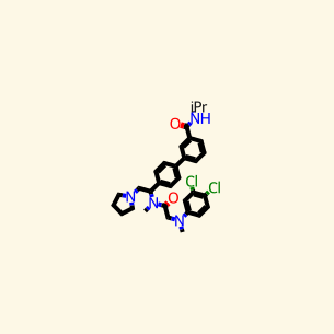 CC(C)NC(=O)c1cccc(-c2ccc(C(CN3CCCC3)N(C)C(=O)CN(C)c3ccc(Cl)c(Cl)c3)cc2)c1